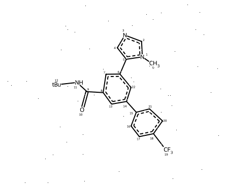 Cn1cncc1-c1cc(C(=O)NC(C)(C)C)cc(-c2ccc(C(F)(F)F)cc2)c1